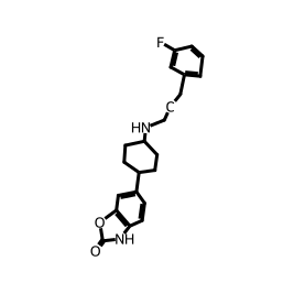 O=c1[nH]c2ccc(C3CCC(NCCCc4cccc(F)c4)CC3)cc2o1